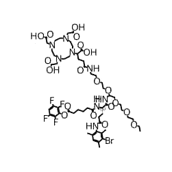 CCOCCOCCOCC(NC(=O)[C@H](CCC(=O)Nc1c(C)cc(C)c(Br)c1C)NC(=O)CCCCC(=O)Oc1c(F)c(F)cc(F)c1F)OCCOCCNC(=O)CCC(C(=O)O)N1CCN(CC(=O)O)CCN(CC(=O)O)CCN(CC(=O)O)CC1